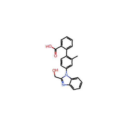 Cc1cc(-n2c(CO)nc3ccccc32)ccc1-c1ccccc1C(=O)O